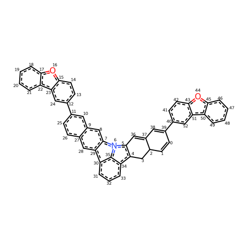 C1=CC2Cc3c(n4c5cc6cc(-c7ccc8oc9ccccc9c8c7)ccc6cc5c5cccc3c54)C=C2C=C1c1ccc2oc3ccccc3c2c1